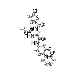 CCOC(=O)N[C@H](CNC(=O)c1ccc(Cl)s1)C(=O)Nc1ccc(N2CCOCC2=O)c(F)c1